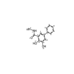 CCCNC(=O)c1nc(-c2ccccc2)nc(O)c1O